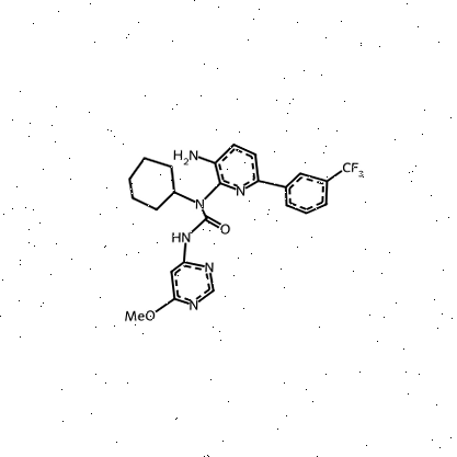 COc1cc(NC(=O)N(c2nc(-c3cccc(C(F)(F)F)c3)ccc2N)C2CCCCC2)ncn1